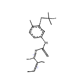 C=C(/N=C(C)\C(C)=C/C)Nc1ccc(C)c(CC(C)(C)C)c1